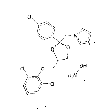 Clc1ccc(C2(Cn3ccnc3)OCC(COc3c(Cl)cccc3Cl)O2)cc1.O=[N+]([O-])O